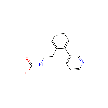 O=C(O)NCCc1ccccc1-c1cccnc1